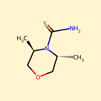 C[C@@H]1COC[C@@H](C)N1C(N)=S